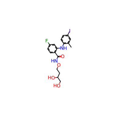 Cc1cc(I)ccc1Nc1cc(F)ccc1C(=O)NOCCC(O)CO